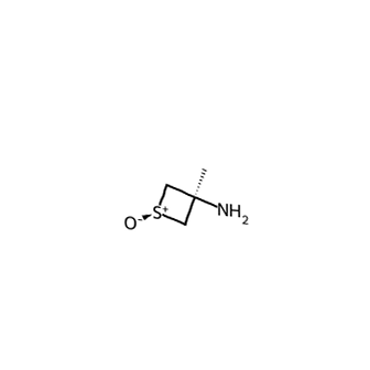 C[C@]1(N)C[S@@+]([O-])C1